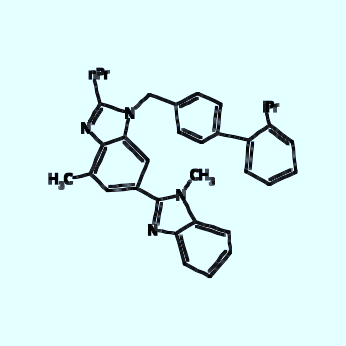 CCCc1nc2c(C)cc(-c3nc4ccccc4n3C)cc2n1Cc1ccc(-c2ccccc2C(C)C)cc1